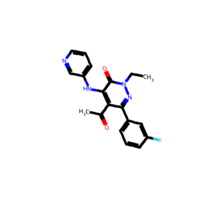 CCn1nc(-c2cccc(F)c2)c(C(C)=O)c(Nc2cccnc2)c1=O